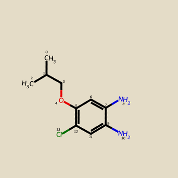 CC(C)COc1cc(N)c(N)cc1Cl